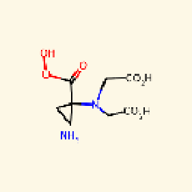 N.O=C(O)CN(CC(=O)O)C1(C(=O)OO)CC1